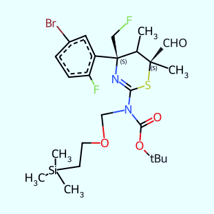 CC1[C@@](C)(C=O)SC(N(COCC[Si](C)(C)C)C(=O)OC(C)(C)C)=N[C@]1(CF)c1cc(Br)ccc1F